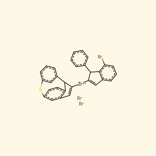 Brc1cccc2c1C(c1ccccc1)[C]([Zr+2][C]1=Cc3cc4ccc3C1c1cccc(c1)S4)=C2.[Br-].[Br-]